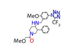 COCC(=O)N1CCC(NCc2cc(-n3nnnc3C(F)(F)F)ccc2OC)C(c2ccccc2)C1